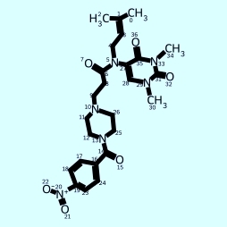 CC(C)=CCN(C(=O)CCN1CCN(C(=O)c2ccc([N+](=O)[O-])cc2)CC1)c1cn(C)c(=O)n(C)c1=O